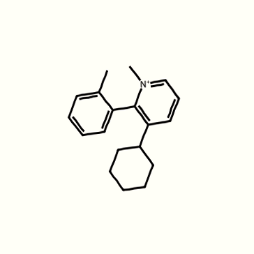 Cc1ccccc1-c1c(C2CCCCC2)ccc[n+]1C